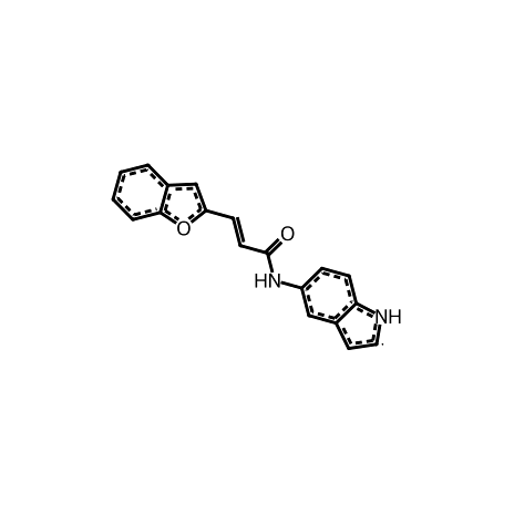 O=C(C=Cc1cc2ccccc2o1)Nc1ccc2[nH][c]cc2c1